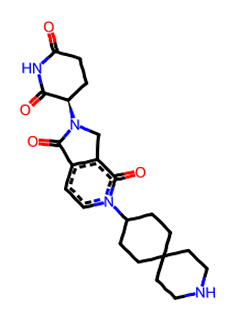 O=C1CC[C@@H](N2Cc3c(ccn(C4CCC5(CCNCC5)CC4)c3=O)C2=O)C(=O)N1